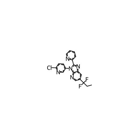 CCC(F)(F)c1cnc2c(c1)nc(-c1ccccn1)n2-c1ccc(Cl)nc1